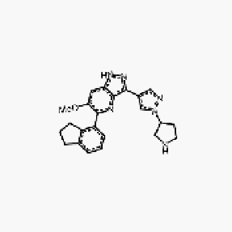 COc1cc2[nH]nc(-c3cnn(C4CCNC4)c3)c2nc1-c1cccc2c1CCC2